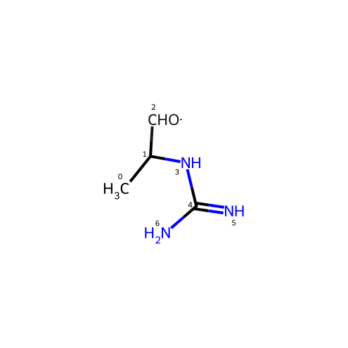 CC([C]=O)NC(=N)N